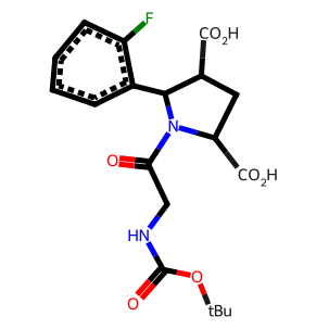 CC(C)(C)OC(=O)NCC(=O)N1C(C(=O)O)CC(C(=O)O)C1c1ccccc1F